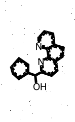 OC(c1ccccc1)c1ccc2ccc3cccnc3c2n1